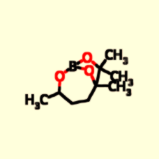 CC1CCC2(C)OB(O1)OC2(C)C